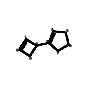 C1=C[C](C2=CCCC2)C1